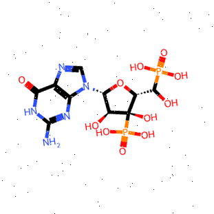 Nc1nc2c(ncn2[C@@H]2O[C@H](C(O)P(=O)(O)O)[C@](O)(P(=O)(O)O)[C@H]2O)c(=O)[nH]1